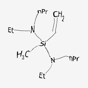 C=C[Si](C)(N(CC)CCC)N(CC)CCC